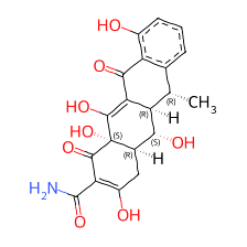 C[C@H]1c2cccc(O)c2C(=O)C2=C(O)[C@]3(O)C(=O)C(C(N)=O)=C(O)C[C@@H]3[C@@H](O)[C@@H]21